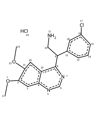 COc1cc2ncnc(C(CN)c3cccc(Cl)c3)c2cc1OC.Cl